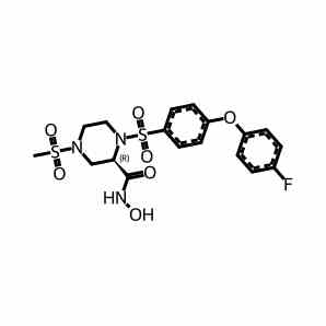 CS(=O)(=O)N1CCN(S(=O)(=O)c2ccc(Oc3ccc(F)cc3)cc2)[C@@H](C(=O)NO)C1